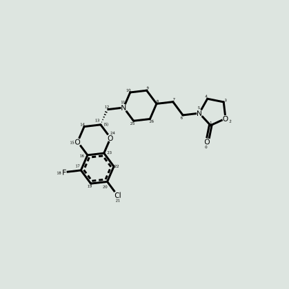 O=C1OCCN1CCC1CCN(C[C@H]2COc3c(F)cc(Cl)cc3O2)CC1